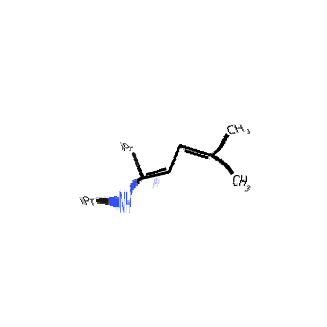 CC(C)=C/C=C(/NC(C)C)C(C)C